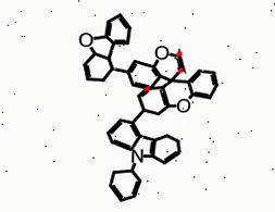 C1=CCC(n2c3c(c4c(C5C=CC6=C(C5)Oc5ccccc5C65c6ccccc6Oc6cc(C7CC=CC8Oc9ccccc9C87)ccc65)cccc42)CCC=C3)C=C1